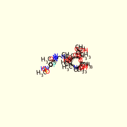 CC[C@H]1OC(=O)[C@H](C)[C@@H](O[C@H]2C[C@@](C)(OC)[C@@H](O)[C@H](C)O2)[C@H](C)[C@@H](O[C@H]2C[C@@H](N(C)CCc3cn([C@H](CF)[C@H](OC)c4ccc(CNS(C)(=O)=O)cc4)nn3)C[C@@H](C)O2)[C@](C)(O)C[C@@H](C)CN(C)[C@H](C)[C@@H](O)[C@]1(C)O